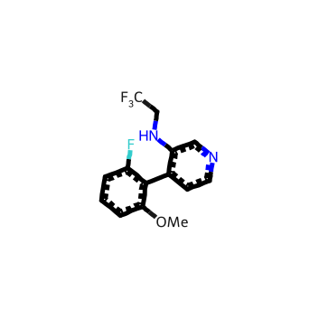 COc1cccc(F)c1-c1ccncc1NCC(F)(F)F